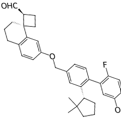 COc1cc(-c2ccc(COc3ccc4c(c3)[C@]3(CCC4)CC[C@@H]3C=O)cc2[C@@H]2CCCC2(C)C)c(F)cn1